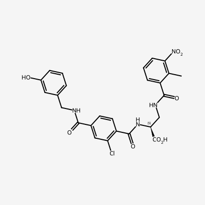 Cc1c(C(=O)NC[C@H](NC(=O)c2ccc(C(=O)NCc3cccc(O)c3)cc2Cl)C(=O)O)cccc1[N+](=O)[O-]